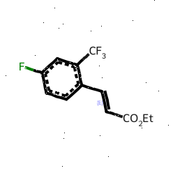 CCOC(=O)/C=C/c1ccc(F)cc1C(F)(F)F